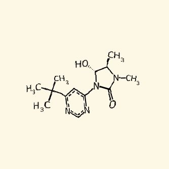 C[C@@H]1[C@@H](O)N(c2cc(C(C)(C)C)ncn2)C(=O)N1C